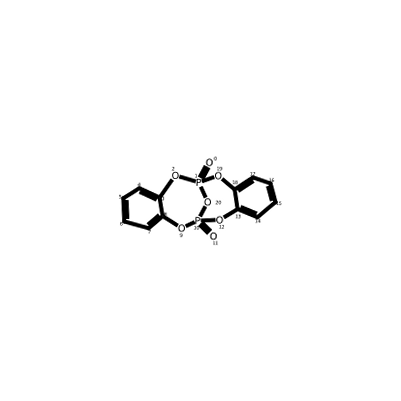 O=P12Oc3ccccc3OP(=O)(Oc3ccccc3O1)O2